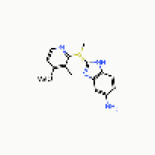 COc1ccnc([SH](C)c2nc3cc(N)ccc3[nH]2)c1C